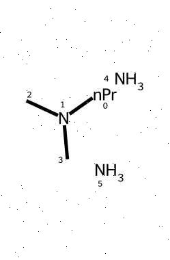 CCCN(C)C.N.N